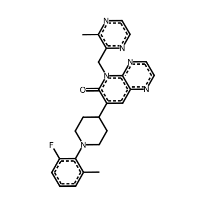 Cc1cccc(F)c1N1CCC(c2cc3nccnc3n(Cc3nccnc3C)c2=O)CC1